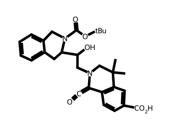 CC(C)(C)OC(=O)N1Cc2ccccc2CC1C(O)CN1CC(C)(C)c2cc(C(=O)O)ccc2C1=C=O